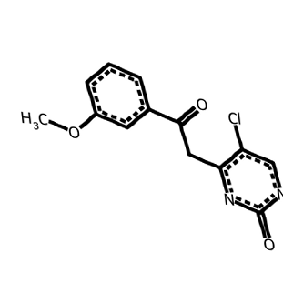 COc1cccc(C(=O)Cc2nc(=O)[nH]cc2Cl)c1